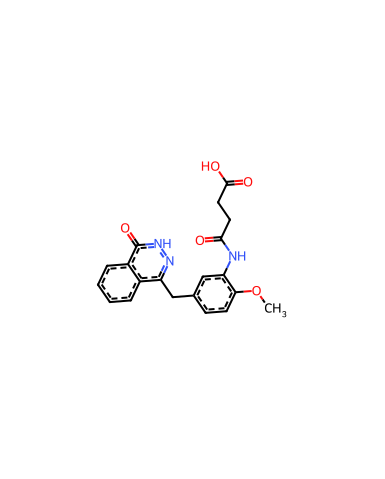 COc1ccc(Cc2n[nH]c(=O)c3ccccc23)cc1NC(=O)CCC(=O)O